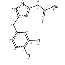 CC(C)(C)C(=O)Nc1nnc(Cc2ccc(Cl)c(Cl)c2)s1